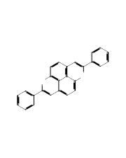 C1=C(c2ccccc2)Sc2ccc3c4c(ccc1c24)SC(c1ccccc1)=C3